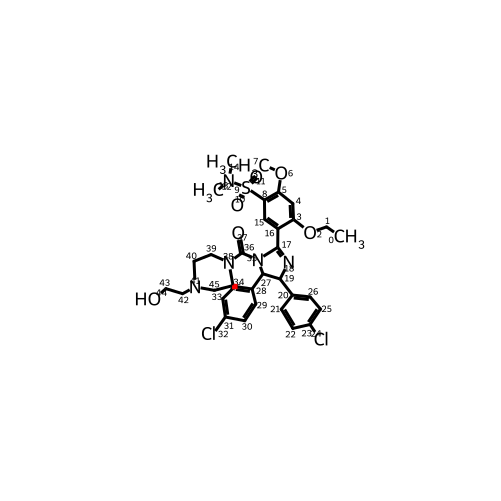 CCOc1cc(OC)c(S(=O)(=O)N(C)C)cc1C1=NC(c2ccc(Cl)cc2)C(c2ccc(Cl)cc2)N1C(=O)N1CCN(CCO)CC1